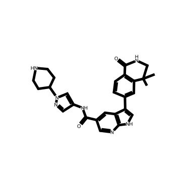 CC1(C)CNC(=O)c2ccc(-c3c[nH]c4ncc(C(=O)Nc5cnn(C6CCNCC6)c5)cc34)cc21